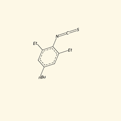 CCCCc1cc(CC)c(N=C=S)c(CC)c1